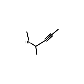 [CH2]C(C#CC)NC